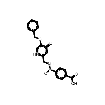 O=C(O)c1ccc([S+]([O-])NCc2cc(=O)c(OCc3ccccc3)c[nH]2)cc1